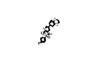 O=S(=O)(Nc1cc(-c2ccc3c(c2)OCCO3)cnc1Cl)c1ccc(F)cc1